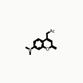 C=C1C=C(CC(C)=O)c2ccc(N(C)C)cc2O1